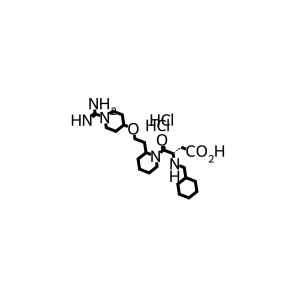 Cl.Cl.N=C(N)N1CCC(OCCC2CCCCN2C(=O)[C@H](CC(=O)O)NCC2CCCCC2)CC1